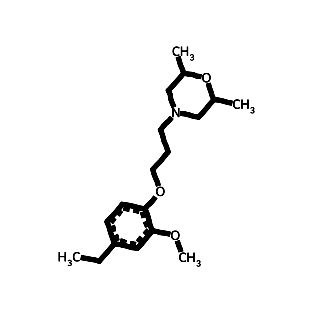 CCc1ccc(OCCCN2CC(C)OC(C)C2)c(OC)c1